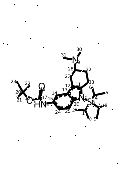 CC(C)[Si](C(C)C)(C(C)C)n1c2c(c3cc(NC(=O)OC(C)(C)C)ccc31)CC(N(C)C)CC2